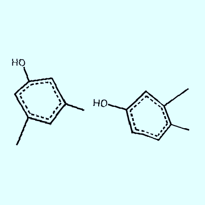 Cc1cc(C)cc(O)c1.Cc1ccc(O)cc1C